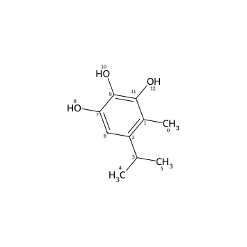 Cc1c(C(C)C)cc(O)c(O)c1O